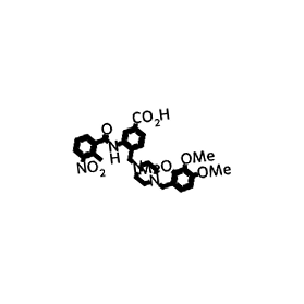 COc1ccc(CN2CCN(Cc3ccc(C(=O)O)cc3NC(=O)c3cccc([N+](=O)[O-])c3C)CC2)c(OC)c1OC